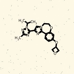 Cc1nc(-c2cn3c(n2)-c2ccc(OC4COC4)cc2OCC3)n(C(C)C)n1